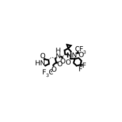 O=C1NCC[C@H]1C[C@H](NC(=O)[C@@H]1CC2(CC2)CN1C(=O)C1(NC(=O)C(F)(F)F)CCC(F)(F)CC1)C(=O)COC(F)(F)F